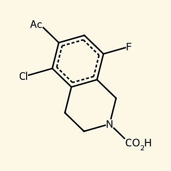 CC(=O)c1cc(F)c2c(c1Cl)CCN(C(=O)O)C2